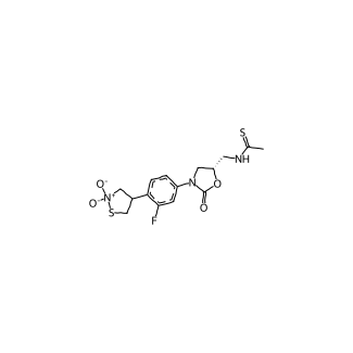 CC(=S)NC[C@H]1CN(c2ccc(C3CS[N+]([O-])([O-])C3)c(F)c2)C(=O)O1